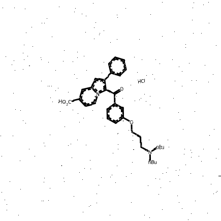 CCCCN(CCCC)CCCOc1cccc(C(=O)c2c(-c3ccccc3)cc3cc(C(=O)O)ccn23)c1.Cl